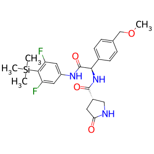 COCc1ccc([C@@H](NC(=O)[C@@H]2CNC(=O)C2)C(=O)Nc2cc(F)c([Si](C)(C)C)c(F)c2)cc1